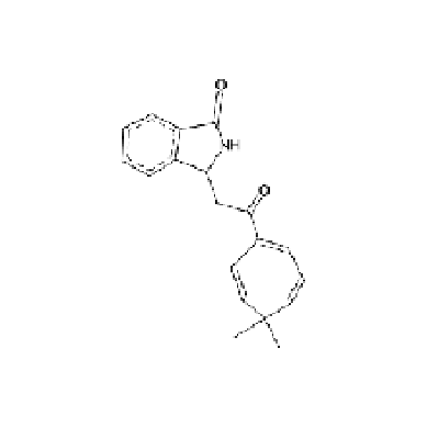 CC1(C)C=CC=C(C(=O)CC2NC(=O)c3ccccc32)C=C1